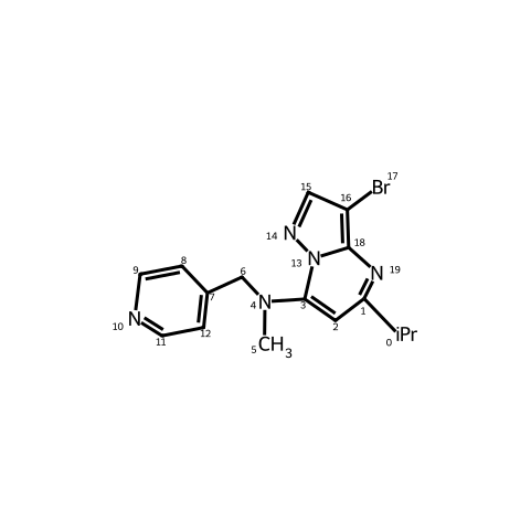 CC(C)c1cc(N(C)Cc2ccncc2)n2ncc(Br)c2n1